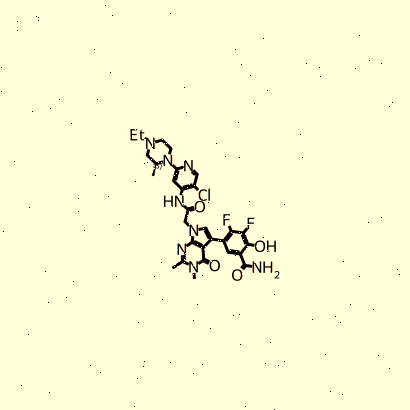 CCN1CCN(c2cc(NC(=O)Cn3cc(-c4cc(C(N)=O)c(O)c(F)c4F)c4c(=O)n(C)c(C)nc43)c(Cl)cn2)[C@@H](C)C1